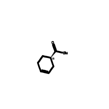 CC(C)(C)C(=O)[C@@H]1CC=CCC1